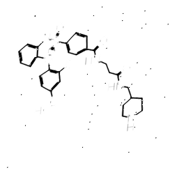 Cl.O=C(CCNC(=O)c1ccc(S(=O)(=O)Nc2ccccc2Oc2ccc(Cl)cc2Cl)cc1)NCC1CCNCC1